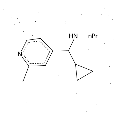 CCCNC(c1ccnc(C)c1)C1CC1